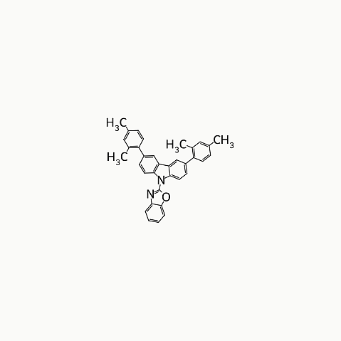 Cc1ccc(-c2ccc3c(c2)c2cc(-c4ccc(C)cc4C)ccc2n3-c2nc3ccccc3o2)c(C)c1